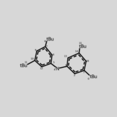 CC(C)(C)c1cc([N]c2cc(C(C)(C)C)cc(C(C)(C)C)c2)cc(C(C)(C)C)c1